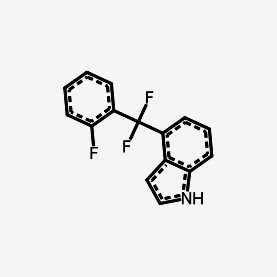 Fc1ccccc1C(F)(F)c1cccc2[nH]ccc12